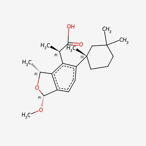 CO[C@@H]1O[C@H](C)c2c1ccc([C@@]1(C)CCCC(C)(C)C1)c2[C@@H](C)C(=O)O